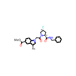 COC(=O)c1ccc2c(c1)c(C(C)=O)cn2CC(=O)N1C[C@H](F)C[C@H]1C(=O)NCc1ccccc1